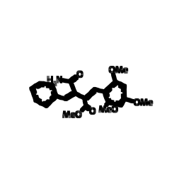 COC(=O)C(=C\c1c(OC)cc(OC)cc1OC)/C(=C/c1ccccc1)C(N)=O